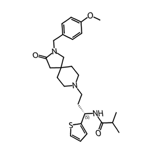 COc1ccc(CN2CC3(CCN(CC[C@H](NC(=O)C(C)C)c4cccs4)CC3)CC2=O)cc1